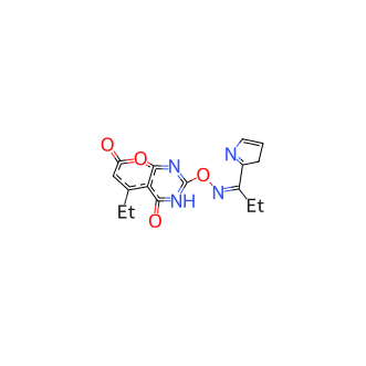 CCC(=NOc1nc2oc(=O)cc(CC)c2c(=O)[nH]1)C1=NC=CC1